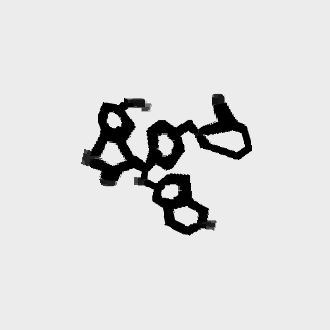 O=C1Nc2ccc([N+](=O)[O-])cc2/C1=C(/Nc1ccc2c(c1)CCNC2)c1ccc(CN2CCCCC2=O)cc1